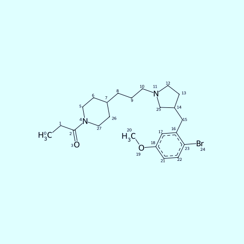 CCC(=O)N1CCC(CCCN2CCC(Cc3cc(OC)ccc3Br)C2)CC1